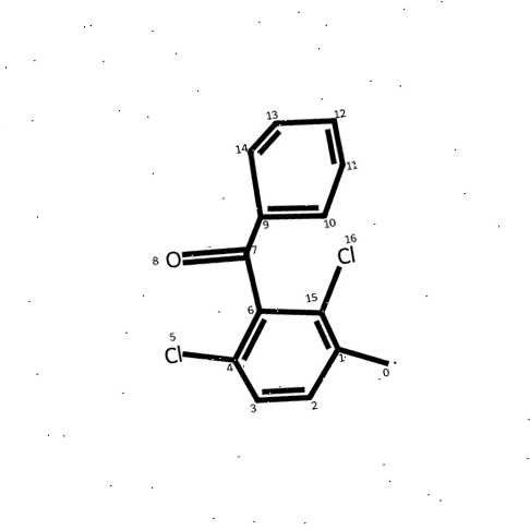 [CH2]c1ccc(Cl)c(C(=O)c2ccccc2)c1Cl